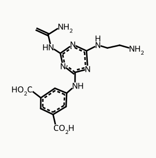 C=C(N)Nc1nc(NCCN)nc(Nc2cc(C(=O)O)cc(C(=O)O)c2)n1